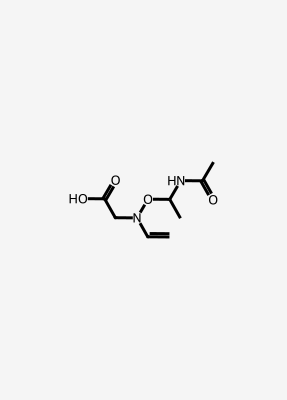 C=CN(CC(=O)O)OC(C)NC(C)=O